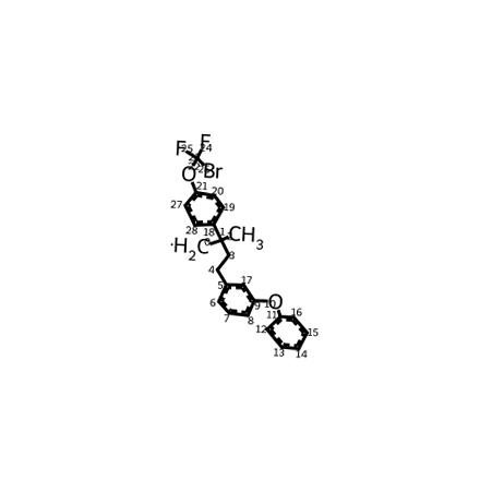 [CH2]C(C)(CCc1cccc(Oc2ccccc2)c1)c1ccc(OC(F)(F)Br)cc1